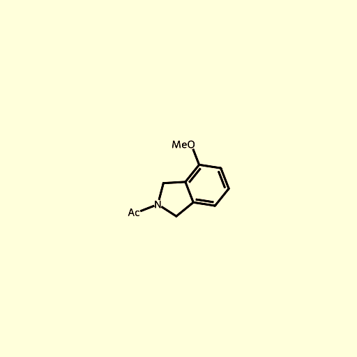 COc1cccc2c1CN(C(C)=O)C2